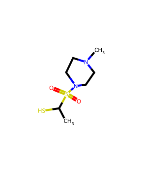 CC(S)S(=O)(=O)N1CCN(C)CC1